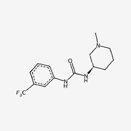 CN1CCC[C@@H](NC(=O)Nc2cccc(C(F)(F)F)c2)C1